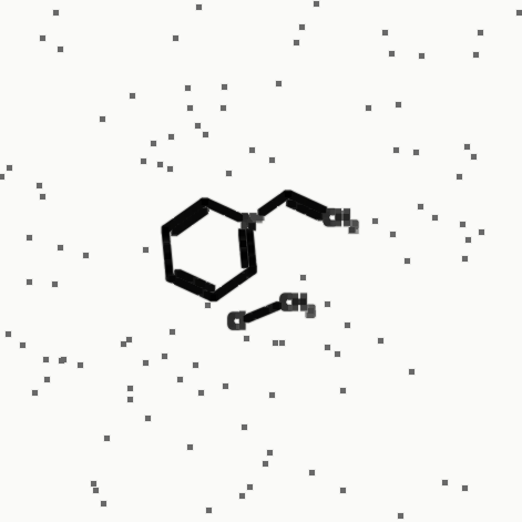 C=C[n+]1ccccc1.CCl